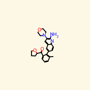 Cc1cccc(C(=O)C2CCCO2)c1-c1ccc2nc(N)c(N3CCOCC3)cc2c1